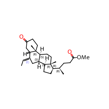 C/C=C1\C[C@@H]2[C@H](CC[C@]3(C)[C@@H]([C@H](C)CCC(=O)OC)CC[C@@H]23)[C@@]2(C)CCC(=O)C[C@@H]12